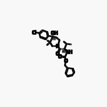 CC(C)[C@@H](NC(=O)OCc1ccccc1)C(=O)N1CC[C@](O)(c2ccc(Cl)cc2)C(C)(C)C1